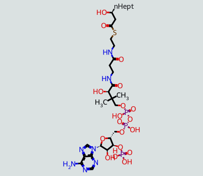 CCCCCCC[C@H](O)CC(=O)SCCNC(=O)CCNC(=O)[C@H](O)C(C)(C)COP(=O)(O)OP(=O)(O)OC[C@H]1O[C@@H](n2cnc3c(N)ncnc32)[C@H](O)[C@@H]1OP(=O)(O)O